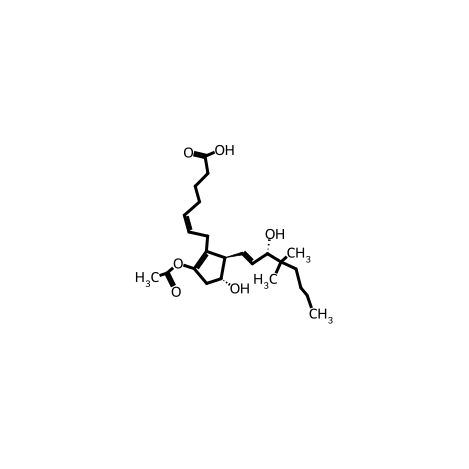 CCCCC(C)(C)[C@@H](O)/C=C/[C@@H]1C(C/C=C\CCCC(=O)O)=C(OC(C)=O)C[C@H]1O